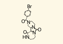 O=C1NCCCn2c1c1n(c2=O)CCN(C(=O)c2ccc(Br)cc2)C1